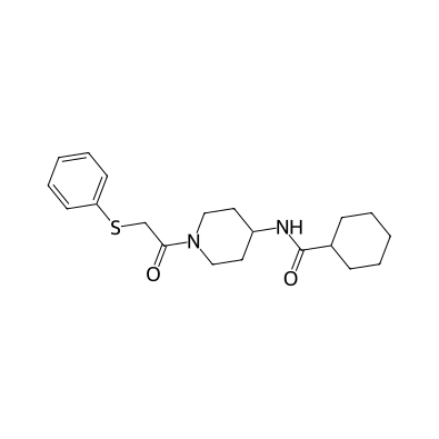 O=C(NC1CCN(C(=O)CSc2ccccc2)CC1)C1CCCCC1